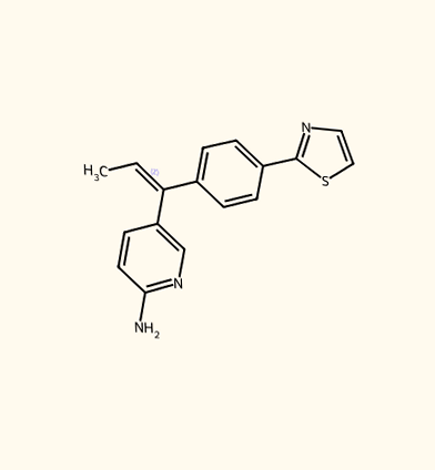 C/C=C(/c1ccc(-c2nccs2)cc1)c1ccc(N)nc1